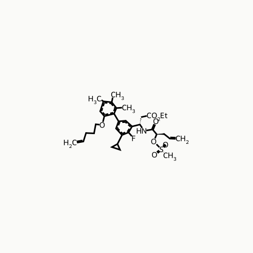 C=CCCCOc1cc(C)c(C)c(C)c1-c1cc(C2CC2)c(F)c([C@H](CC(=O)OCC)NC(=O)[C@@H](CC=C)OS(C)(=O)=O)c1